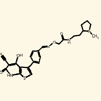 CN1CCCC1CCNC(=O)CON=Cc1ccc(-c2csc3[nH]c(=O)c(C#N)c(O)c23)cc1